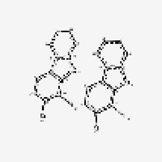 Clc1ccc2c(oc3ccccc32)c1I.Clc1ccc2c(oc3ccccc32)c1I